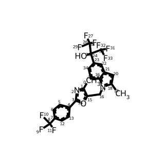 Cc1nc(-c2ccc(C(F)(F)F)cc2)oc1Cn1c(C)cc2cc(C(O)(C(F)(F)F)C(F)(F)F)ccc21